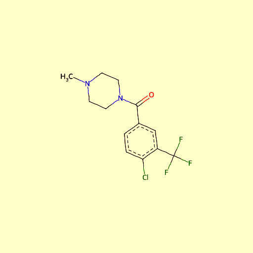 CN1CCN(C(=O)c2ccc(Cl)c(C(F)(F)F)c2)CC1